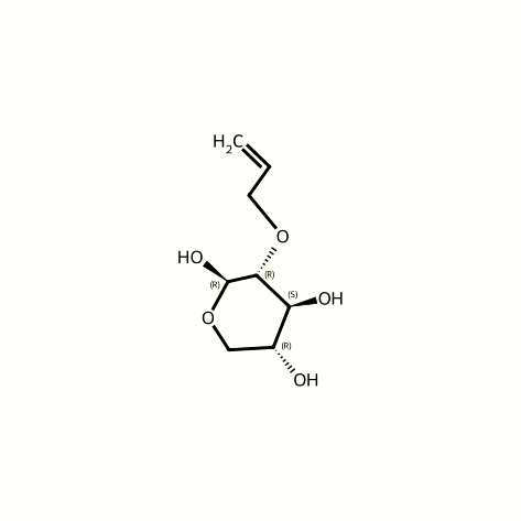 C=CCO[C@@H]1[C@@H](O)[C@H](O)CO[C@H]1O